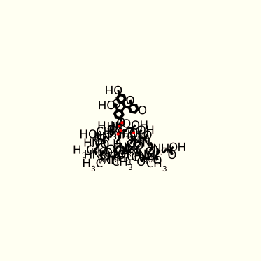 CC(=O)N[C@@H](C(=O)NCC(=O)N[C@H](CCC(=O)O)C(=O)N[C@H](C)C(=O)N[C@H](C)C(=O)N[C@H](C)C(=O)N[C@H](CCCCNC(=O)c1ccc(C(=O)O)c(-c2c3ccc(=O)cc-3oc3cc(O)ccc23)c1)C(=O)N[C@H](C)C(=O)N[C@H](C)C(=O)N[C@H](C)C(=O)N[C@@H](C(=O)NCC(=O)N[C@H](CCC(=O)O)C(N)=O)[C@H](C)O)[C@H](C)O